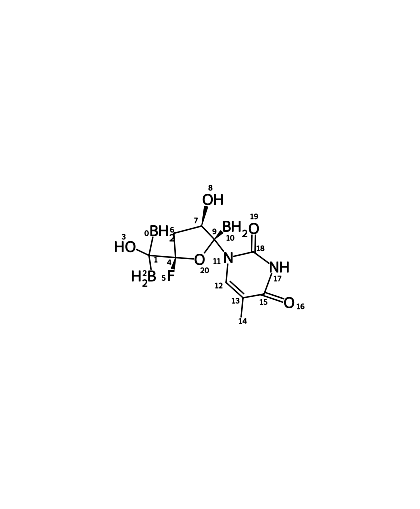 BC(B)(O)[C@]1(F)C[C@@H](O)[C@](B)(n2cc(C)c(=O)[nH]c2=O)O1